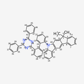 CC1(C)c2ccccc2-c2cc3c4ccccc4n(-c4ccccc4-c4ccccc4-c4nc(-c5ccccc5)nc(-c5ccccc5)n4)c3cc21